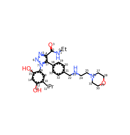 CCNC(=O)c1nnn(-c2cc(C(C)C)c(O)cc2O)c1-c1ccc(CNCCN2CCOCC2)cc1